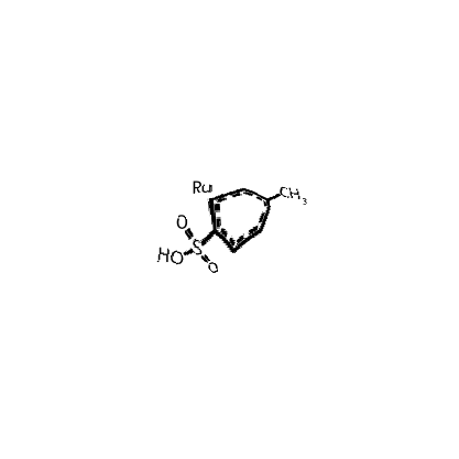 Cc1ccc(S(=O)(=O)O)cc1.[Ru]